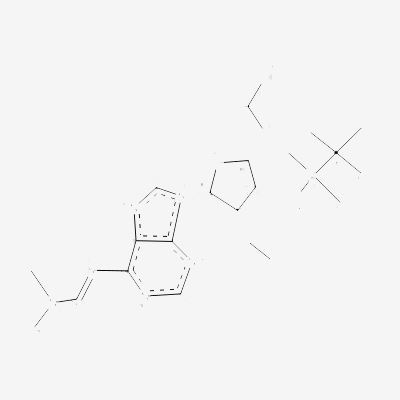 CO[C@H]1[C@@H](O[Si](C)(C)C(C)(C)C)[C@@H](CCO)O[C@H]1n1cnc2c(N=CN(C)C)ncnc21